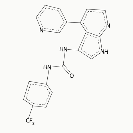 O=C(Nc1ccc(C(F)(F)F)cc1)Nc1c[nH]c2nccc(-c3cccnc3)c12